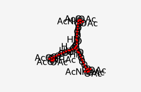 CC(=O)NC1C(OCCOCCOCCOCCNC(=O)CCOCC(C)(COCCC(=O)NCCOCCOCCOCCOC2OC(COC(C)=O)C(OC(C)=O)C(OC(C)=O)C2NC(C)=O)COCCC(=O)NCCOCCOCCOCCOC2OC(COC(C)=O)C(OC(C)=O)C(OC(C)=O)C2NC(C)=O)OC(COC(C)=O)C(OC(C)=O)C1OC(C)=O